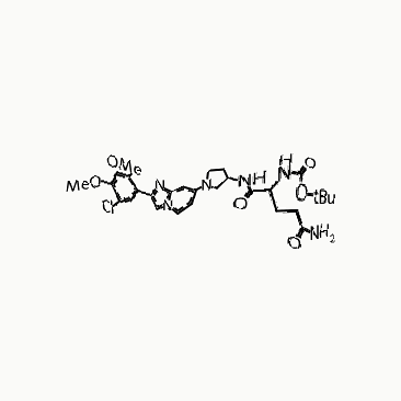 COc1cc(OC)c(-c2cn3ccc(N4CCC(NC(=O)C(CCC(N)=O)NC(=O)OC(C)(C)C)C4)cc3n2)cc1Cl